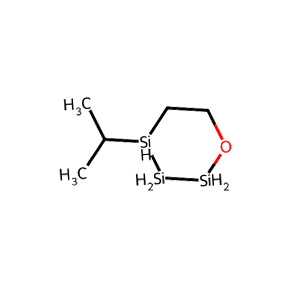 CC(C)[SiH]1CCO[SiH2][SiH2]1